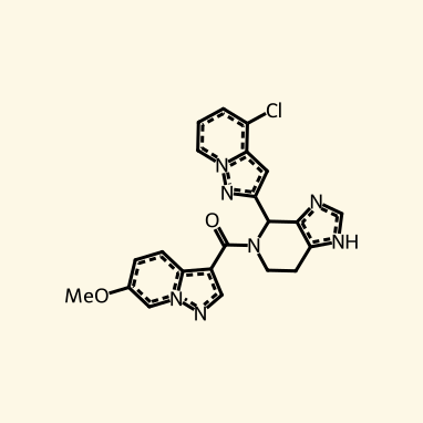 COc1ccc2c(C(=O)N3CCc4[nH]cnc4C3c3cc4c(Cl)cccn4n3)cnn2c1